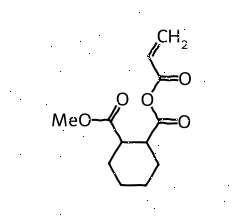 C=CC(=O)OC(=O)C1CCCCC1C(=O)OC